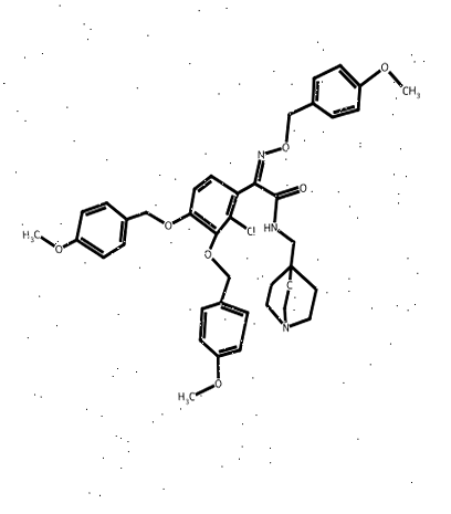 COc1ccc(CO/N=C(\C(=O)NCC23CCN(CC2)CC3)c2ccc(OCc3ccc(OC)cc3)c(OCc3ccc(OC)cc3)c2Cl)cc1